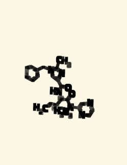 C=C[C@@H](C)[C@H](NC(=O)c1cn(Cc2ccccc2)c(C)n1)C(=O)N(C)c1cnccn1